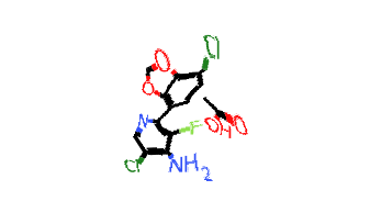 CC(=O)O.Nc1c(Cl)cnc(-c2ccc(Cl)c3c2OCO3)c1F